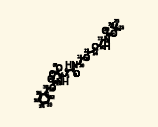 COC(=O)[C@H](CCC(=O)NCCOCCOCCNC(=O)OC(C)(C)C)NC(=O)OCc1ccccc1